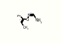 C/C=C(\O/N=C\N)C(C)C